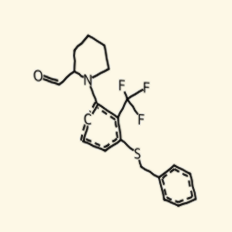 O=CC1CCCCN1c1cccc(SCc2ccccc2)c1C(F)(F)F